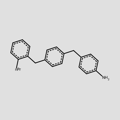 CCCc1ccccc1Cc1ccc(Cc2ccc(N)cc2)cc1